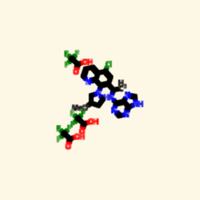 COC1CCN(c2c(C(C)Nc3ncnc4[nH]cnc34)cc(Cl)c3cccnc23)C1.O=C(O)C(F)(F)F.O=C(O)C(F)(F)F.O=C(O)C(F)(F)F